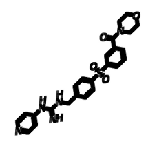 N=C(NCc1ccc(S(=O)(=O)c2cccc(C(=O)N3CCOCC3)c2)cc1)Nc1ccncc1